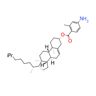 Cc1cc(N)ccc1C(=O)O[C@H]1CC[C@@]2(C)C(=CC[C@H]3[C@@H]4CC[C@H]([C@H](C)CCCCC(C)C)[C@@]4(C)CC[C@@H]32)C1